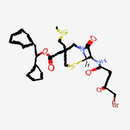 CSCC1(C(=O)OC(c2ccccc2)c2ccccc2)CS[C@@H]2C(NC(=O)CC(=O)CBr)C(=O)N2C1